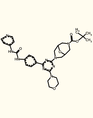 CC(C)(C)OC(=O)N1CC2CN(c3nc(-c4ccc(NC(=O)Nc5ccncc5)cc4)nc(N4CCOCC4)n3)CC(C1)O2